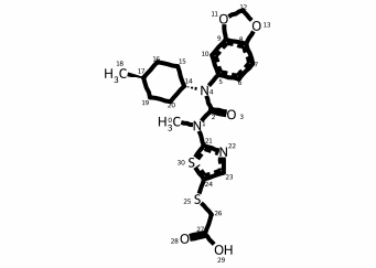 CN(C(=O)N(c1ccc2c(c1)OCO2)[C@H]1CC[C@H](C)CC1)c1ncc(SCC(=O)O)s1